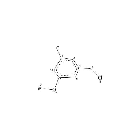 Cc1cc(CCl)cc(OC(C)C)c1